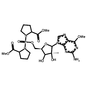 COC(=O)C1CCCN1P(=O)(OC[C@H]1OC(n2cnc3c(OC)nc(N)nc32)[C@@](C)(O)C1O)N1CCCC1C(=O)OC